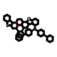 c1ccc(-c2ccc(N(c3ccc(-c4ccccc4)cc3)c3cccc4oc5c6ccccc6c(-c6ccccc6-c6ccc7c(c6)sc6ccccc67)cc5c34)cc2)cc1